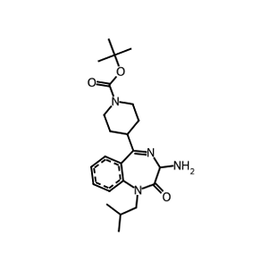 CC(C)CN1C(=O)C(N)N=C(C2CCN(C(=O)OC(C)(C)C)CC2)c2ccccc21